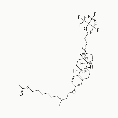 CC(=O)SCCCCCCN(C)CCOc1ccc2c(c1)CC[C@@H]1[C@@H]2CC[C@]2(C)[C@@H](OCCCOC(C(F)(F)F)(C(F)(F)F)C(F)(F)F)CC[C@@H]12